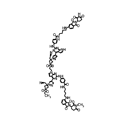 CCS(=O)(=O)N1CC(CC#N)(n2cc(-c3nc(Nc4ccc(C(=O)NCCCCNc5cccc6c5C(=O)N(C5CCC(=O)N(C)C5=O)C6=O)cc4)nc4c3ccn4CCS(=O)(=O)N3CC(CC#N)(n4cc(-c5nc(Nc6ccc(C(=O)NCCCCNc7ccc8c(c7)C(=O)N(C7CCC(=O)NC7=O)C8=O)cc6)nc6[nH]ccc56)cn4)C3)cn2)C1